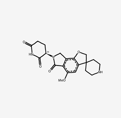 COc1cc2c(c3c1C(=O)N([C@@H]1CCC(=O)NC1=O)C3)OCC21CCNCC1